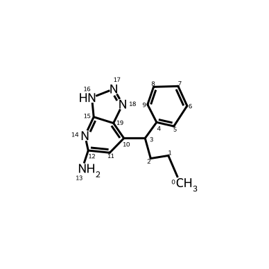 CCCC(c1ccccc1)c1cc(N)nc2[nH]nnc12